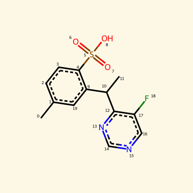 Cc1ccc(S(=O)(=O)O)c(C(C)c2ncncc2F)c1